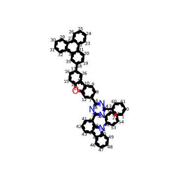 c1ccc(-c2nc(-c3ccc4c(c3)oc3ccc(-c5ccc6c7ccccc7c7ccccc7c6c5)cc34)nc(-c3cccc4c5ccccc5n(-c5ccccc5)c34)n2)cc1